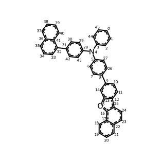 c1ccc(N(c2ccc(-c3ccc4c(c3)oc3c5ccccc5ccc43)cc2)c2ccc(-c3cccc4ccccc34)cc2)cc1